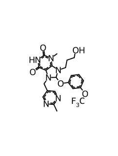 Cc1ncc(CN2c3c(n(C)c(=O)[nH]c3=O)N(CCCO)C2Oc2cccc(OC(F)(F)F)c2)cn1